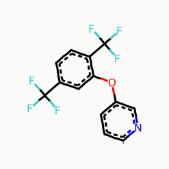 FC(F)(F)c1ccc(C(F)(F)F)c(Oc2cc[c]nc2)c1